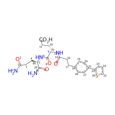 NC(=O)CC[C@@H](NC(=O)[C@H](CCC(=O)O)NC(=O)CCc1ccc(-c2cccs2)cc1)C(N)=O